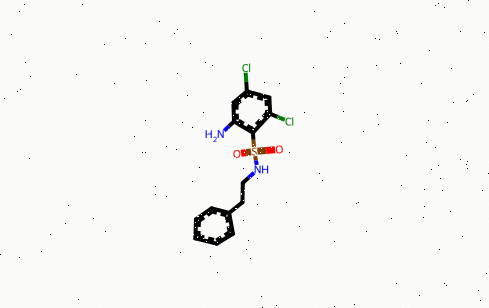 Nc1cc(Cl)cc(Cl)c1S(=O)(=O)NCCc1ccccc1